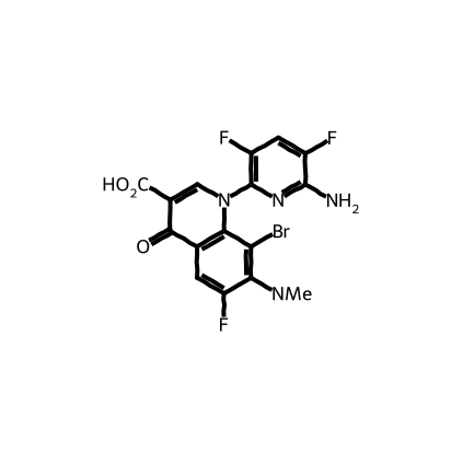 CNc1c(F)cc2c(=O)c(C(=O)O)cn(-c3nc(N)c(F)cc3F)c2c1Br